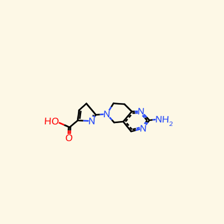 Nc1ncc2c(n1)CCN(C1=NC(C(=O)O)=CC1)C2